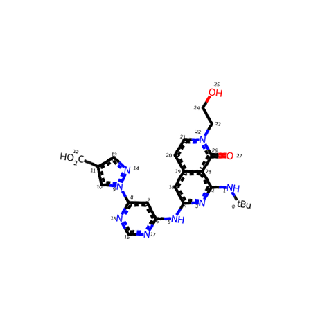 CC(C)(C)Nc1nc(Nc2cc(-n3cc(C(=O)O)cn3)ncn2)cc2ccn(CCO)c(=O)c12